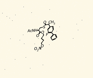 CC(=O)NC(CSC(=O)C(C)c1ccc(-c2ccccc2)c(F)c1)C(=O)OCCCCO[N+](=O)[O-]